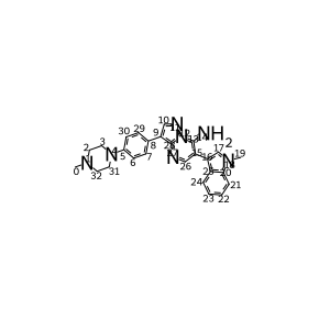 CN1CCN(c2ccc(-c3cnn4c(N)c(-c5cn(C)c6ccccc56)cnc34)cc2)CC1